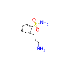 NCCCc1ccccc1S(N)(=O)=O